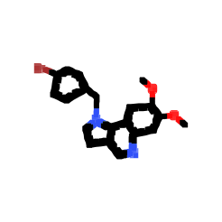 COc1cc2ncc3ccn(Cc4ccc(Br)cc4)c3c2cc1OC